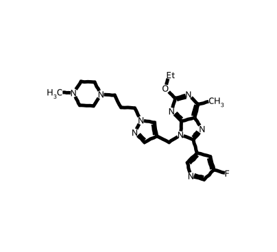 CCOc1nc(C)c2nc(-c3cncc(F)c3)n(Cc3cnn(CCCN4CCN(C)CC4)c3)c2n1